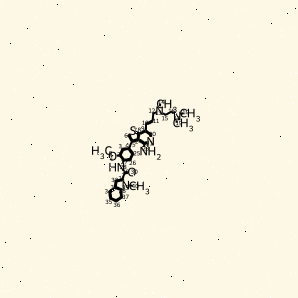 COc1cc(-c2csc3c(C=CCN(C)CCN(C)C)cnc(N)c23)ccc1NC(=O)c1cc2ccccc2n1C